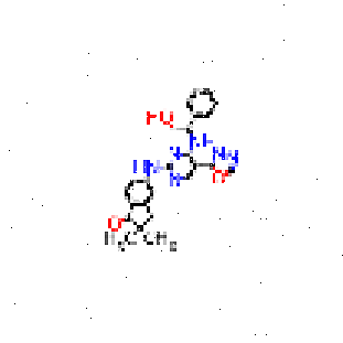 CC1(C)Cc2cc(Nc3ncc(-c4nnco4)c(N[C@H](CO)c4ccccc4)n3)ccc2C1=O